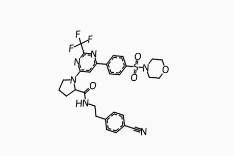 N#Cc1ccc(CCNC(=O)C2CCCN2c2cc(-c3ccc(S(=O)(=O)N4CCOCC4)cc3)nc(C(F)(F)F)n2)cc1